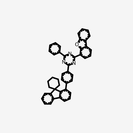 c1ccc(-c2nc(-c3ccc(-c4cccc5c4C4(CCCCC4)c4ccccc4-5)cc3)nc(-c3cccc4c3oc3ccccc34)n2)cc1